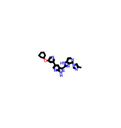 Cc1cn(-c2nccc3[nH]c(-c4n[nH]c5ncc(-c6cncc(OC7CCCCC7)c6)cc45)nc23)cn1